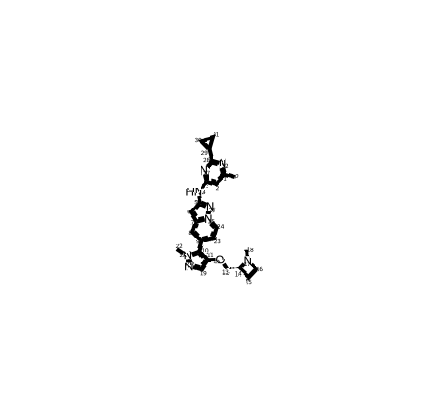 Cc1cc(Nc2cc3cc(-c4c(OC[C@H]5CCN5C)cnn4C)ccn3n2)nc(C2CC2)n1